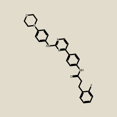 O=C(CCc1ccccc1F)Nc1ccc(-c2ccnc(Nc3ccc(N4CCOCC4)cc3)n2)cc1